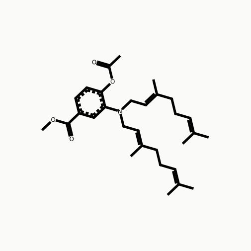 COC(=O)c1ccc(OC(C)=O)c(N(C/C=C(\C)CCC=C(C)C)C/C=C(\C)CCC=C(C)C)c1